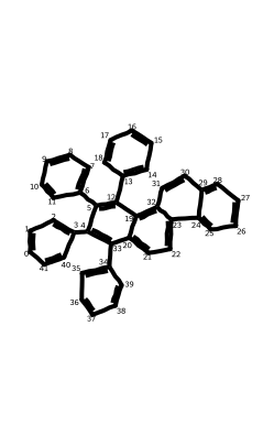 c1ccc(-c2c(-c3ccccc3)c(-c3ccccc3)c3c(ccc4c5ccccc5ccc43)c2-c2ccccc2)cc1